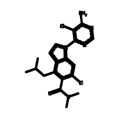 CC(C)Cc1c(C(=O)N(C)C)c(Cl)cc2c1ccn2-c1ncnc(N)c1Cl